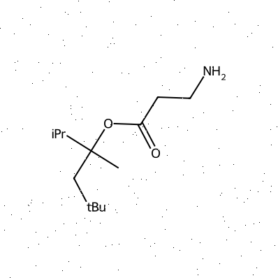 CC(C)C(C)(CC(C)(C)C)OC(=O)CCN